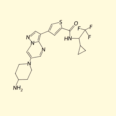 NC1CCN(c2cnc3c(-c4csc(C(=O)NC(C5CC5)C(F)(F)F)c4)cnn3c2)CC1